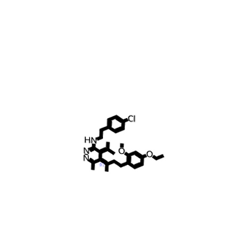 CCOc1ccc(CC/C(C)=c2/c(C)nnc(NCCc3ccc(Cl)cc3)c2=C(C)C)c(OC)c1